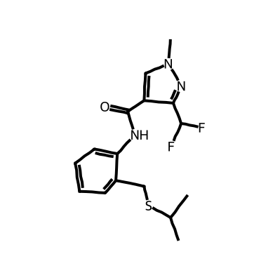 CC(C)SCc1ccccc1NC(=O)c1cn(C)nc1C(F)F